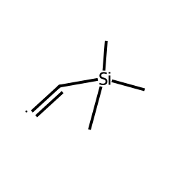 [CH]=C[Si](C)(C)C